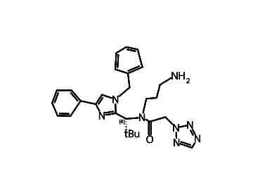 CC(C)(C)[C@H](c1nc(-c2ccccc2)cn1Cc1ccccc1)N(CCCN)C(=O)Cn1ncnn1